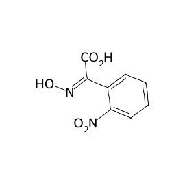 O=C(O)C(=NO)c1ccccc1[N+](=O)[O-]